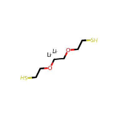 SCCOCCOCCS.[Li].[Li]